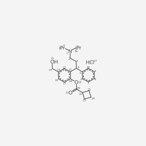 CC(C)N(CCC(c1ccccc1)c1cc(CO)ccc1OC(=O)C1CCC1)C(C)C.Cl